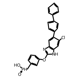 O=[PH](O)Cc1cccc(Oc2nc3cc(-c4ccc(-c5ccccc5)cc4)c(Cl)cc3[nH]2)c1